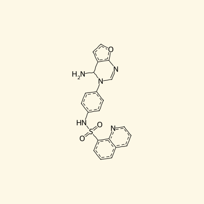 NC1c2ccoc2N=CN1c1ccc(NS(=O)(=O)c2cccc3cccnc23)cc1